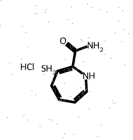 Cl.NC(=O)C1=CC=CC=CN1.S